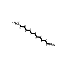 [CH2]CC(C)CCCCCCCCCCCCCCCCCCCC